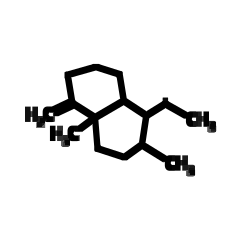 C=C1CCCC2C([CH]C)C(C)CCC12C